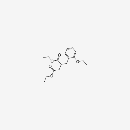 CCOC(=O)CC(Cc1ccccc1OCC)C(=O)OCC